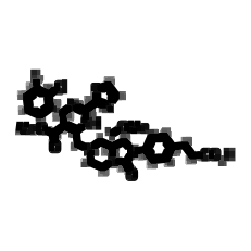 COC[C@@]12CN(CC3=C(C(=O)OC)[C@H](c4cccc(F)c4Cl)N=C(c4nccs4)N3)CCN1C(=O)N(c1ccc(CCC(=O)O)cc1)C2